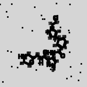 Cn1cc(NC(=O)c2cccc(-c3cnn(CCCl)c3)c2)c(C(=O)NCC2CNCCO2)n1